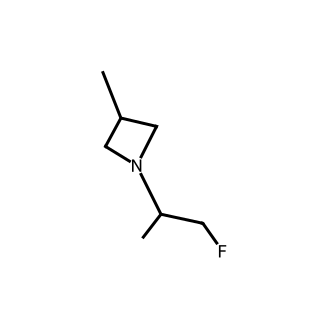 CC1CN(C(C)CF)C1